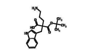 CC(C)(C)OC(=O)C(CCCN)(Cc1c[nH]c2ccccc12)C(=O)O